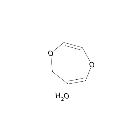 C1=COC=COC1.O